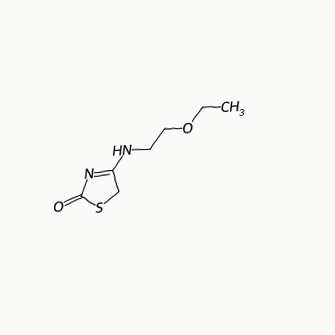 CCOCCNC1=NC(=O)SC1